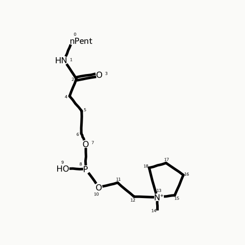 CCCCCNC(=O)CCCOP(O)OCC[N+]1(C)CCCC1